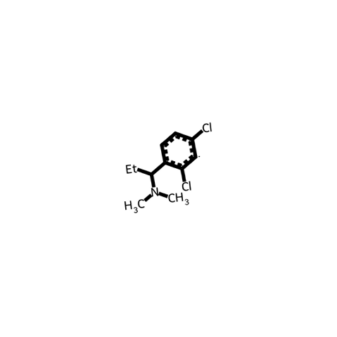 CCC(c1ccc(Cl)[c]c1Cl)N(C)C